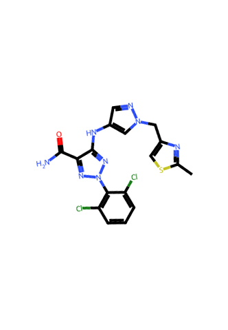 Cc1nc(Cn2cc(Nc3nn(-c4c(Cl)cccc4Cl)nc3C(N)=O)cn2)cs1